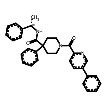 C[C@H](NC(=O)C1(c2ccccc2)CCN(C(=O)c2ccc(-c3ccccc3)cn2)CC1)c1ccccc1